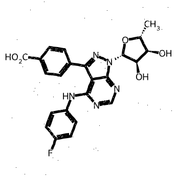 C[C@H]1O[C@@H](n2nc(-c3ccc(C(=O)O)cc3)c3c(Nc4ccc(F)cc4)ncnc32)[C@H](O)[C@@H]1O